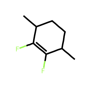 CC1CCC(C)C(F)=C1F